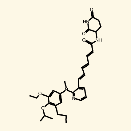 CCCc1cc(N(C)c2ncccc2/C=C/C=C/C=C/C(=O)NC2CCC(=O)NC2=O)cc(OCC)c1OC(C)C